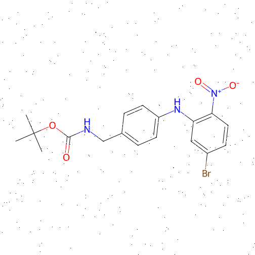 CC(C)(C)OC(=O)NCc1ccc(Nc2cc(Br)ccc2[N+](=O)[O-])cc1